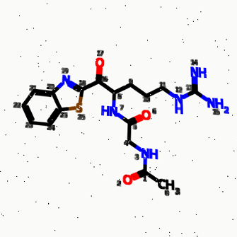 CC(=O)NCC(=O)NC(CCCNC(=N)N)C(=O)c1nc2ccccc2s1